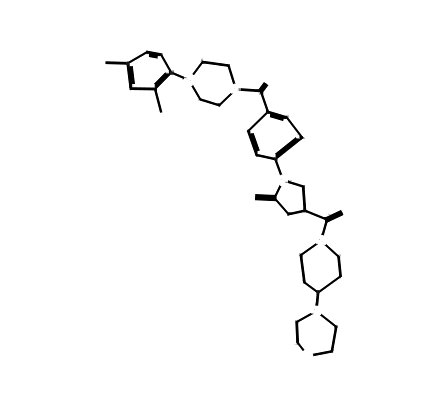 Cc1ccc(N2CCN(C(=O)c3ccc(N4CC(C(=O)N5CCC(N6CCOCC6)CC5)CC4=O)cc3)CC2)c(C)c1